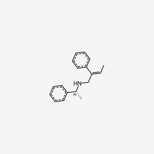 CC=C(CN[C@H](C)c1ccccc1)c1ccccc1